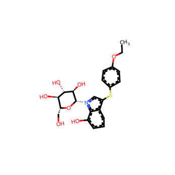 CCOc1ccc(Sc2cn([C@@H]3O[C@H](CO)[C@@H](O)[C@H](O)[C@H]3O)c3c(O)cccc23)cc1